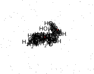 CC(C)C[C@H](NC(=O)CNC(=O)[C@H](CO)NC(=O)[C@H](CCC(N)=O)NC(=O)[C@H](CCC(N)=O)NC(=O)[C@H](CCC(=O)O)NC(=O)[C@H](CCC(N)=O)NC(=O)[C@H](CC(C)C)NC(=O)[C@H](CO)NC(=O)[C@H](CO)NC(=O)[C@H](CCC(N)=O)NC(=O)[C@H](CC(C)C)NC(=O)[C@H](C)N)C(=O)N[C@@H](Cc1ccc(O)cc1)C(=O)N[C@@H](Cc1ccc(O)cc1)C(=O)O